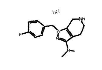 CN(C)c1nn(Cc2ccc(F)cc2)c2c1CCNC2.Cl